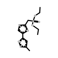 CCOP(=O)(Cc1ncc(-c2cc(C)no2)o1)OCC